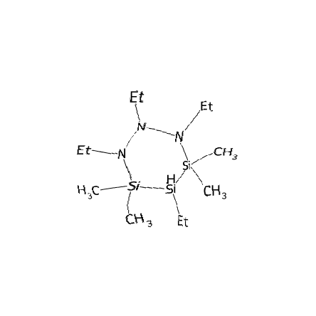 CCN1N(CC)[Si](C)(C)[SiH](CC)[Si](C)(C)N1CC